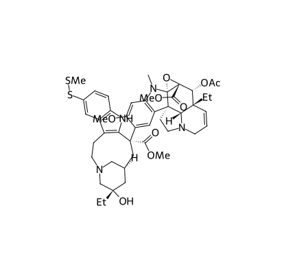 CC[C@]1(O)C[C@H]2CN(CCc3c([nH]c4ccc(SSC)cc34)[C@@](C(=O)OC)(c3cc4c(cc3OC)N(C)[C@@]35O[C@]3(C(=O)OC)[C@H](OC(C)=O)[C@]3(CC)C=CCN6CC[C@]45[C@@H]63)C2)C1